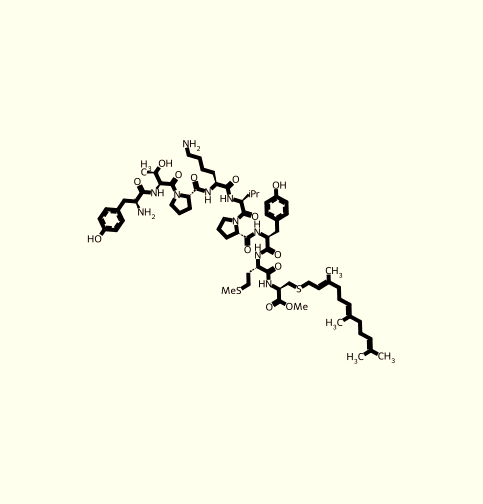 COC(=O)[C@H](CSC/C=C(\C)CC/C=C(\C)CCC=C(C)C)NC(=O)[C@H](CCSC)NC(=O)[C@H](Cc1ccc(O)cc1)NC(=O)[C@@H]1CCCN1C(=O)[C@@H](NC(=O)[C@H](CCCCN)NC(=O)[C@@H]1CCCN1C(=O)[C@@H](NC(=O)[C@@H](N)Cc1ccc(O)cc1)[C@@H](C)O)C(C)C